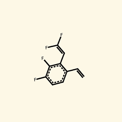 C=Cc1ccc(F)c(F)c1C=C(F)F